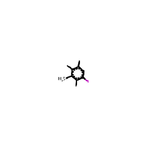 Cc1cc(I)c(C)c([SiH3])c1C